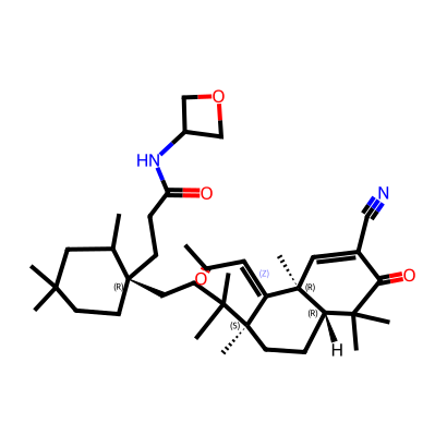 CC(=O)/C=C1/[C@@]2(C)C=C(C#N)C(=O)C(C)(C)[C@@H]2CC[C@@]1(C)C(C)(C)CC[C@@]1(CCC(=O)NC2COC2)CCC(C)(C)CC1C